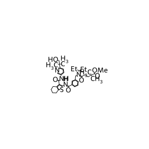 CCC(CC)N(Cc1cccc(C(=O)Nc2sc3c(c2C(=O)Nc2ccc(C(C)(C)CO)nc2)CCCC3)c1)C(=O)CCC(C)(C)C(=O)OC